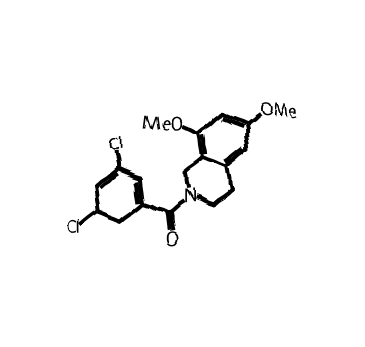 COc1cc2c(c(OC)c1)CN(C(=O)C1=CC(Cl)=CC(Cl)C1)CC2